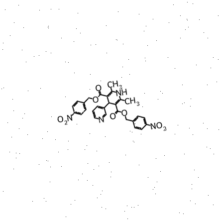 CC1=C(C(=O)OCc2ccc([N+](=O)[O-])cc2)C(c2cccnc2)C(C(=O)OCc2ccc([N+](=O)[O-])cc2)=C(C)N1